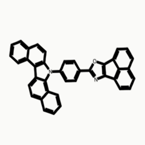 c1cc2c3c(cccc3c1)-c1oc(-c3ccc(-n4c5ccc6ccccc6c5c5ccc6ccccc6c54)cc3)nc1-2